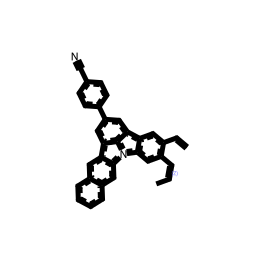 C=Cc1cc2c3cc(-c4ccc(C#N)cc4)cc4c5cc6ccccc6cc5n(c2cc1/C=C\C)c34